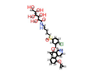 O=C(NCCCCC[S+]([O-])c1ccc(Cl)c(COC2(c3cnccc3-c3ccccc3OC3CC3)CC2)c1)C(O)C(O)C(O)C(O)CO